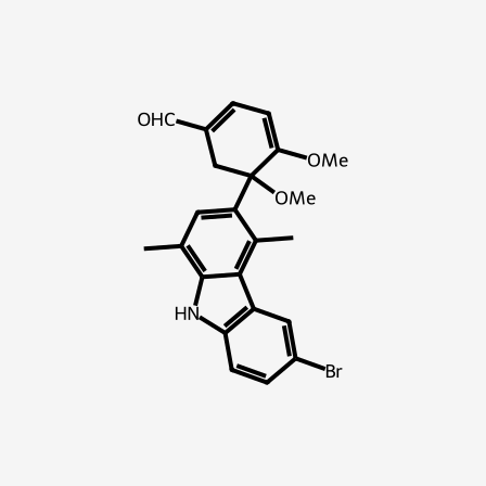 COC1=CC=C(C=O)CC1(OC)c1cc(C)c2[nH]c3ccc(Br)cc3c2c1C